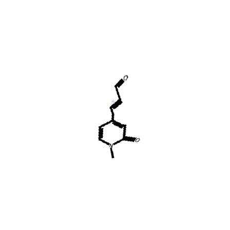 Cn1ccc(/C=C/C=O)cc1=O